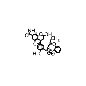 CC[C@@H]1CN(Cc2cc(C(CC(=O)O)c3ccc(C(N)=O)cc3C)ccc2C)S(=O)(=O)c2ccccc2O1